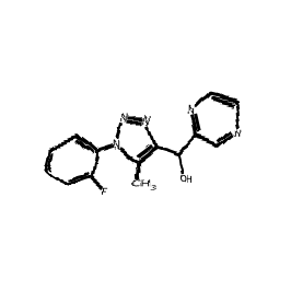 Cc1c(C(O)c2cnccn2)nnn1-c1ccccc1F